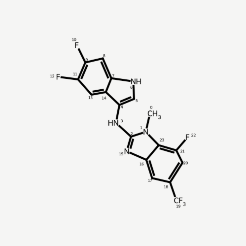 Cn1c(Nc2c[nH]c3cc(F)c(F)cc23)nc2cc(C(F)(F)F)cc(F)c21